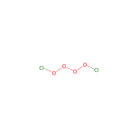 ClOOOOCl